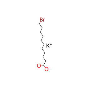 O=C([O-])CCCCCCCCCCBr.[K+]